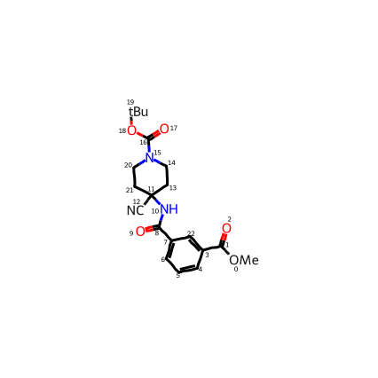 COC(=O)c1cccc(C(=O)NC2(C#N)CCN(C(=O)OC(C)(C)C)CC2)c1